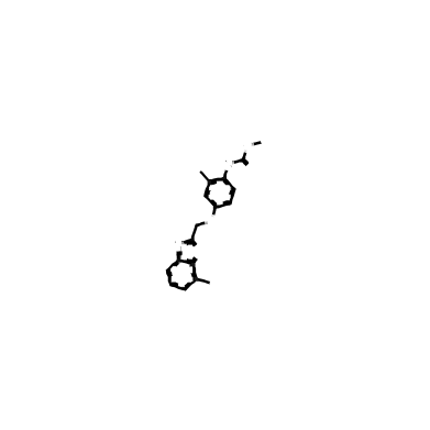 COC(=O)Nc1ccc(OCc2nc3cccc(C)c3o2)cc1C